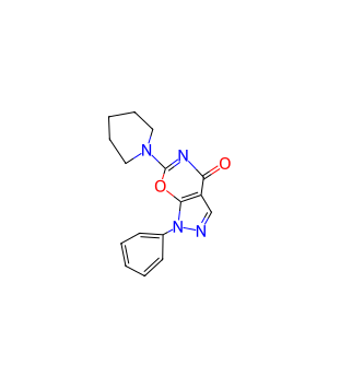 O=c1nc(N2CCCCC2)oc2c1cnn2-c1ccccc1